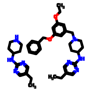 CCOc1cc(CN2CCC(Nc3ncc(CC)cn3)CC2)cc(OCc2ccccc2)c1.CCc1cnc(NC2CCNCC2)nc1